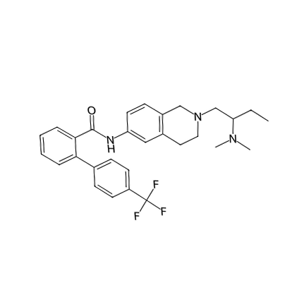 CCC(CN1CCc2cc(NC(=O)c3ccccc3-c3ccc(C(F)(F)F)cc3)ccc2C1)N(C)C